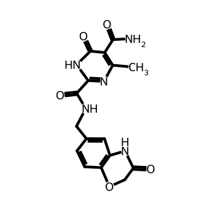 Cc1nc(C(=O)NCc2ccc3c(c2)NC(=O)CO3)[nH]c(=O)c1C(N)=O